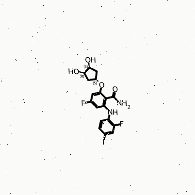 NC(=O)c1c(Nc2ccc(I)cc2F)cc(F)cc1O[C@@H]1C[C@@H](O)[C@@H](O)C1